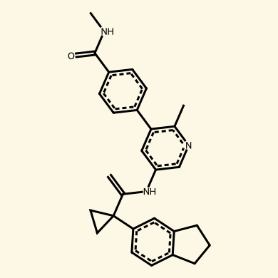 C=C(Nc1cnc(C)c(-c2ccc(C(=O)NC)cc2)c1)C1(c2ccc3c(c2)CCC3)CC1